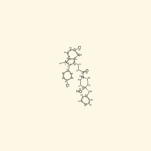 Cn1c(-c2ccc(Cl)cc2)c(CCC(=O)N2CCC(O)(Cc3ccccc3)CC2)c2nc(Cl)ccc21